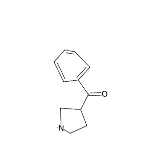 O=C(c1ccccc1)C1CC[N]C1